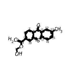 C=C(OCO)c1ccc2c(=O)c3cc(C)ccc3sc2c1